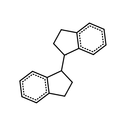 c1ccc2c(c1)CC[C]2C1CCc2ccccc21